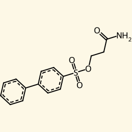 NC(=O)CCOS(=O)(=O)c1ccc(-c2ccccc2)cc1